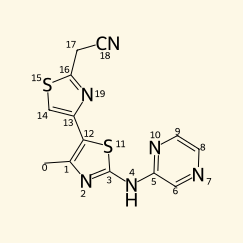 Cc1nc(Nc2cnccn2)sc1-c1csc(CC#N)n1